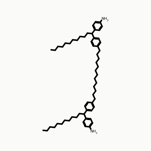 CCCCCCCCCCCC(c1ccc(N)cc1)c1ccc(CCCCCCCCCCCCCc2ccc(C(CCCCCCCCCCC)c3ccc(N)cc3)cc2)cc1